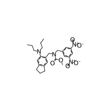 CCCN(CCC)c1cc2c(cc1CN(Cc1cc([N+](=O)[O-])cc([N+](=O)[O-])c1)C(=O)OC)CCC2